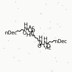 CCCCCCCCCCCCCC(=O)NC(CC(=O)NCCCCNC(=O)C(CC(C)=O)NC(=O)CCCCCCCCCCCCC)C(C)=O